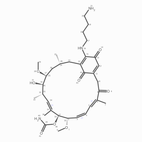 CO[C@H]1/C=C\C=C(/C)C(=O)CC2=CC(=O)C(NCCCCN)=C(C[C@@H](C)C[C@H](OC)[C@H](O)[C@@H](C)/C=C(\C)[C@@H]1OC(N)=O)C2=O